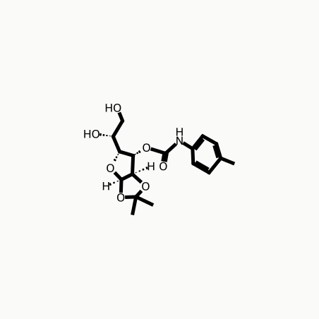 Cc1ccc(NC(=O)O[C@@H]2[C@H]3OC(C)(C)O[C@H]3O[C@@H]2[C@H](O)CO)cc1